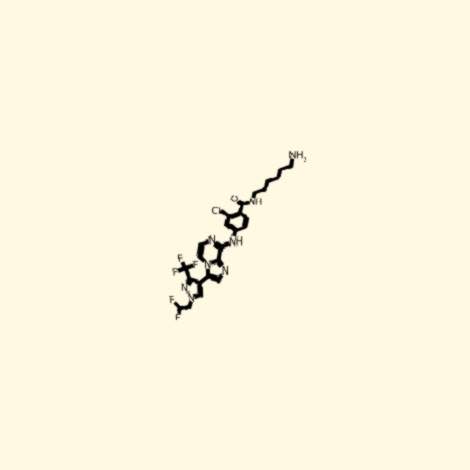 NCCCCCCNC(=O)c1ccc(Nc2nccn3c(-c4cn(CC(F)F)nc4C(F)(F)F)cnc23)cc1Cl